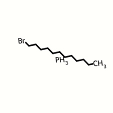 CCCCCCCCCCCCBr.P